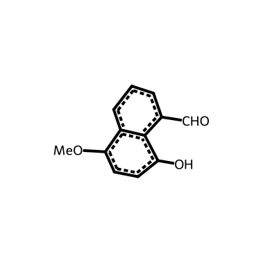 COc1ccc(O)c2c(C=O)cccc12